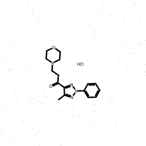 Cc1nn(-c2ccccc2)nc1C(=O)CCN1CCOCC1.Cl